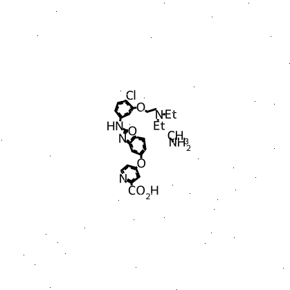 CCN(CC)CCOc1cc(Nc2nc3cc(Oc4ccnc(C(=O)O)c4)ccc3o2)ccc1Cl.CN